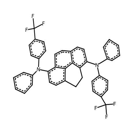 FC(F)(F)c1ccc(N(c2ccccc2)c2ccc3ccc4c(N(c5ccccc5)c5ccc(C(F)(F)F)cc5)ccc5c4c3c2CC5)cc1